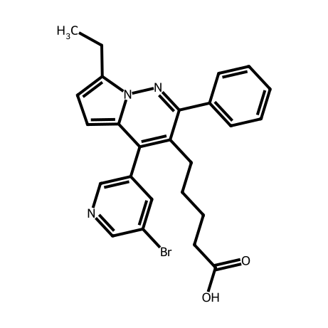 CCc1ccc2c(-c3cncc(Br)c3)c(CCCCC(=O)O)c(-c3ccccc3)nn12